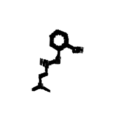 CN(C)CCNSc1ccccc1O